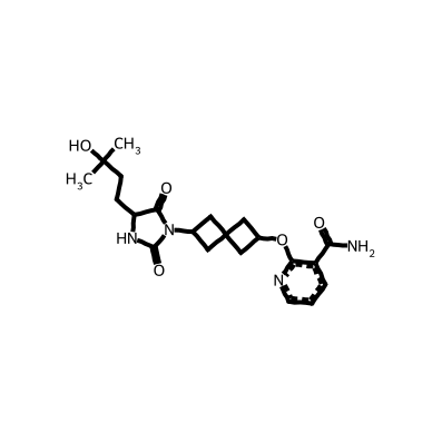 CC(C)(O)CCC1NC(=O)N(C2CC3(CC(Oc4ncccc4C(N)=O)C3)C2)C1=O